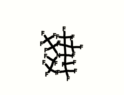 FC(F)(F)C(F)(F)N(C(F)(F)C(F)(F)F)C(F)(C(F)(F)C(F)(F)F)C(F)(C(F)(F)F)C(F)(F)F